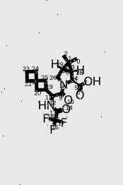 CC1(C)[C@@H]2[C@@H](C(=O)O)N(C(=O)C(NC(=O)C(F)(F)F)C3CC4(CCC4)C3)C[C@@H]21